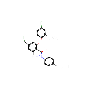 COc1cc(F)ccc1Oc1cc(CF)cc(C(F)(F)F)c1C(=O)Nc1ccc(C(=O)O)cc1